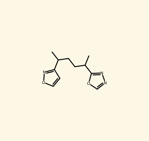 CC(CCC(C)c1nnco1)c1ccon1